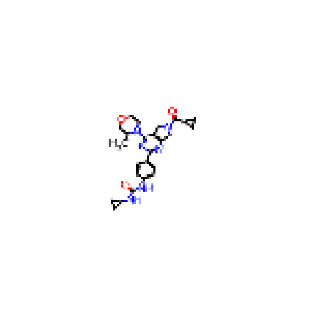 CC1COCCN1c1nc(-c2ccc(NC(=O)NC3CC3)cc2)nc2c1CN(C(=O)C1CC1)C2